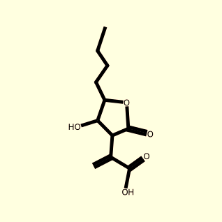 C=C(C(=O)O)C1C(=O)OC(CCCC)C1O